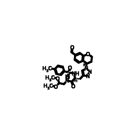 COC(CNC(=O)[C@@H](Cc1cn([C@@H]2CCOc3cc(C=O)ccc32)nn1)NS(=O)(=O)c1ccc(C)cc1)OC